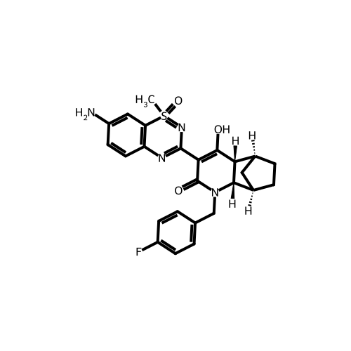 CS1(=O)=NC(C2=C(O)[C@@H]3[C@H]4CC[C@H](C4)[C@@H]3N(Cc3ccc(F)cc3)C2=O)=Nc2ccc(N)cc21